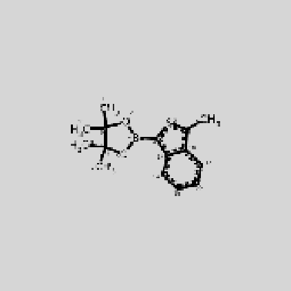 Cc1sc(B2OC(C)(C)C(C)(C)O2)c2ccccc12